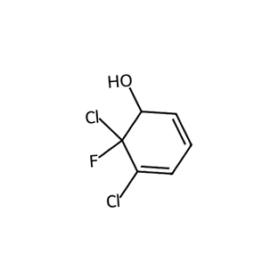 OC1C=CC=C(Cl)C1(F)Cl